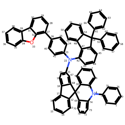 c1ccc(N2c3ccccc3C3(c4ccccc4-c4ccc(N(c5ccc(-c6cccc7c6oc6ccccc67)cc5)c5cccc6c5-c5ccccc5C6(c5ccccc5)c5ccccc5)cc43)c3ccccc32)cc1